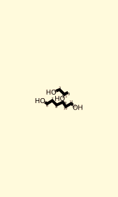 CC(O)CO.OCCCCCCO